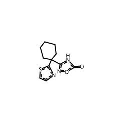 O=c1[nH]c(C2(c3nccs3)CCCCC2)no1